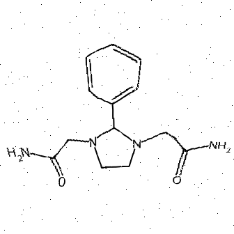 NC(=O)CN1CCN(CC(N)=O)C1c1ccccc1